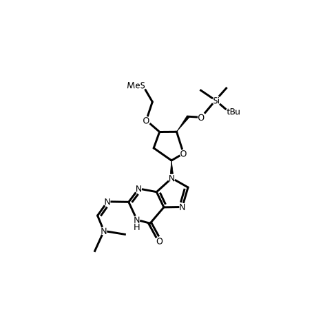 CSCOC1C[C@H](n2cnc3c(=O)[nH]c(/N=C\N(C)C)nc32)O[C@@H]1CO[Si](C)(C)C(C)(C)C